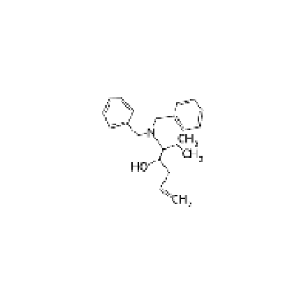 C=CCC(O)[C@H](C(C)C)N(Cc1ccccc1)Cc1ccccc1